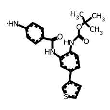 CC(C)(C)OC(=O)Nc1ccc(-c2ccsc2)cc1NC(=O)c1ccc([NH])cc1